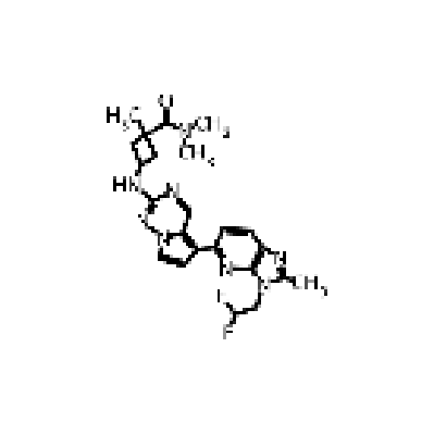 Cc1nc2ccc(-c3ccn4nc(NC5CC(C)(C(=O)N(C)C)C5)ncc34)nc2n1CC(F)F